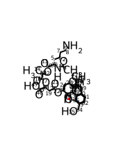 CC(=O)N[C@@H](CCCCN)C(=O)O[C@@H](C)C(=O)O[C@@H](CC(=O)OC1=CC[C@@]2(O)[C@H]3Cc4ccc(CO)c5c4[C@@]2(CCN3C)[C@H]1O5)C(=O)O